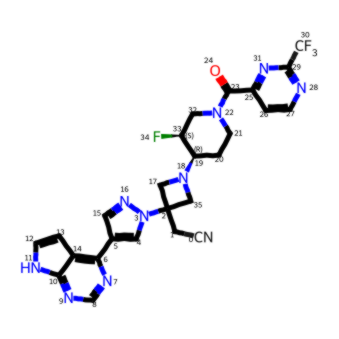 N#CCC1(n2cc(-c3ncnc4[nH]ccc34)cn2)CN([C@@H]2CCN(C(=O)c3ccnc(C(F)(F)F)n3)C[C@@H]2F)C1